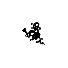 NC(=O)Nc1cc(F)c2c(c1)SC([C@]1(O)[C@@H]3CC[C@H]1C[C@H](OCc1c(-c4c(Cl)cccc4Cl)noc1C1CC1)C3)N2O